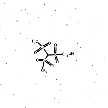 O=S(=O)([C](S(=O)(=O)C(F)(F)F)S(=O)(=O)C(F)(F)F)C(F)(F)F.[LiH]